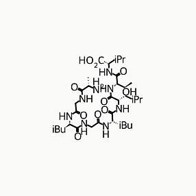 CC[C@H](C)[C@H](NC(=O)CNC(=O)[C@H](C)N)C(=O)NCC(=O)N[C@H](C(=O)N[C@@H](CC(C)C)C(=O)N[C@H](C(=O)N[C@H](C(=O)O)C(C)C)[C@@H](C)O)[C@@H](C)CC